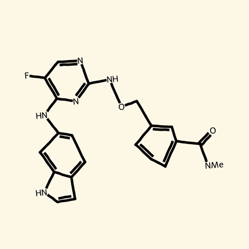 CNC(=O)c1cccc(CONc2ncc(F)c(Nc3ccc4cc[nH]c4c3)n2)c1